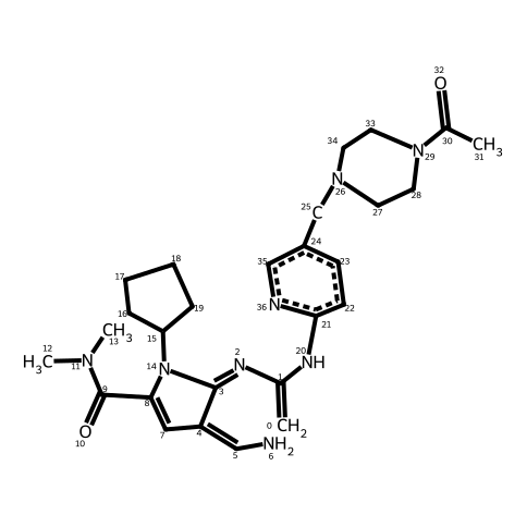 C=C(/N=C1\C(=C/N)C=C(C(=O)N(C)C)N1C1CCCC1)Nc1ccc(CN2CCN(C(C)=O)CC2)cn1